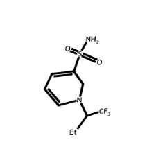 CCC(N1C=CC=C(S(N)(=O)=O)C1)C(F)(F)F